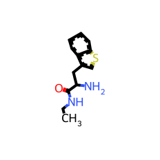 CCNC(=O)C(N)Cc1csc2ccccc12